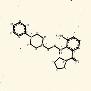 Nc1cccc(C(=O)N2CCCC2)c1NCCN1CCN(c2ccccc2)CC1